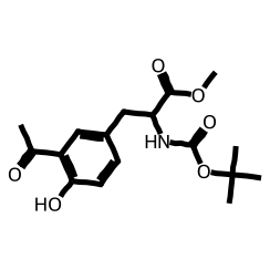 COC(=O)C(Cc1ccc(O)c(C(C)=O)c1)NC(=O)OC(C)(C)C